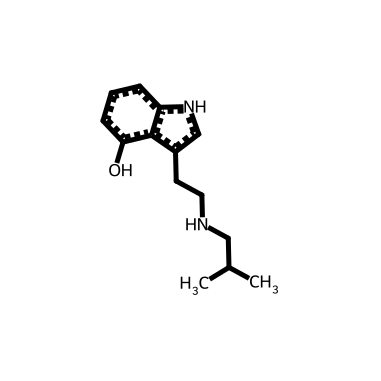 CC(C)CNCCc1c[nH]c2cccc(O)c12